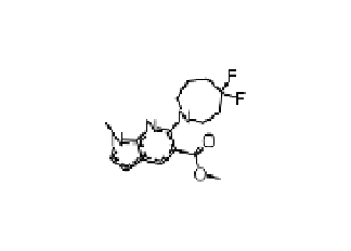 COC(=O)c1cc2ccn(C)c2nc1N1CCCC(F)(F)CC1